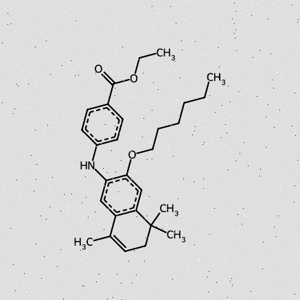 CCCCCCOc1cc2c(cc1Nc1ccc(C(=O)OCC)cc1)C(C)=CCC2(C)C